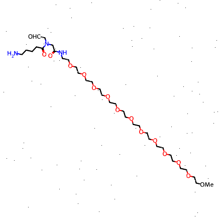 COCCOCCOCCOCCOCCOCCOCCOCCOCCOCCOCCOCCNC(=O)CN(CC=O)C(=O)CCCCN